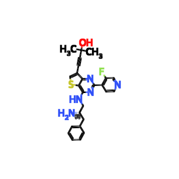 CC(C)(O)C#Cc1csc2c(NC[C@@H](N)Cc3ccccc3)nc(-c3ccncc3F)nc12